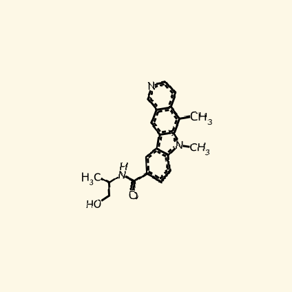 Cc1c2ccncc2cc2c3cc(C(=O)NC(C)CO)ccc3n(C)c12